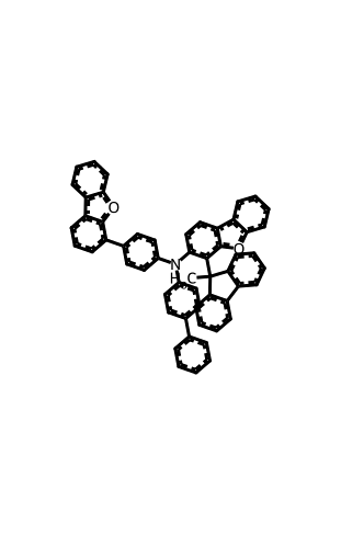 CC1(c2c(N(c3ccc(-c4ccccc4)cc3)c3ccc(-c4cccc5c4oc4ccccc45)cc3)ccc3c2oc2ccccc23)c2ccccc2-c2ccccc21